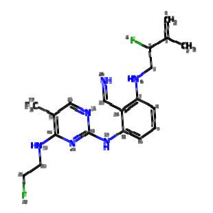 C=C(C)C(F)CNc1cccc(Nc2ncc(C(F)(F)F)c(NCCF)n2)c1C=N